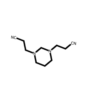 N#CCCN1CCCN(CCC#N)C1